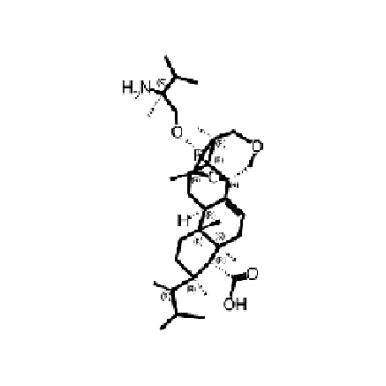 CC(C)[C@@H](C)[C@@]1(C)CC[C@]2(C)[C@H]3CC[C@@H]4[C@@]5(COC[C@]4(C)[C@@H](OC[C@@](C)(N)C(C)C)[C@H](C)C5)C3=CC[C@@]2(C)[C@@H]1C(=O)O